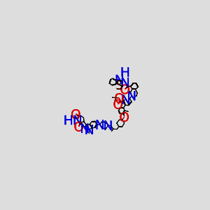 Cc1c(OC2CCC(CC(C)CN3CCN(c4ccc5c(C6CCC(=O)NC6=O)nn(C)c5c4)CC3)CC2)cccc1-c1ccc(N2CCc3cccc(C(=O)Nc4nc5ccccc5s4)c3C2)nc1C(=O)OC(C)(C)C